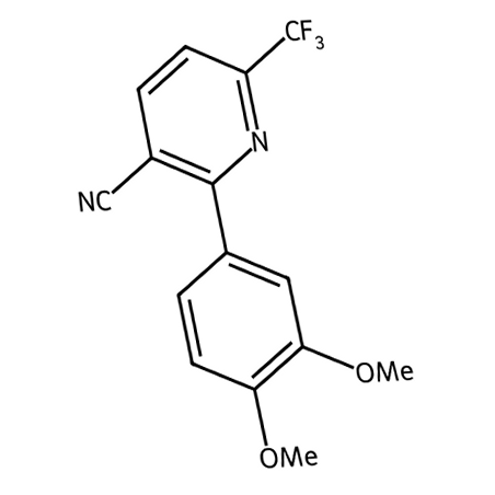 COc1ccc(-c2nc(C(F)(F)F)ccc2C#N)cc1OC